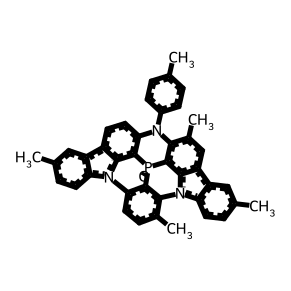 Cc1ccc(N2c3ccc4c5cc(C)ccc5n5c4c3P3(=O)c4c-5ccc(C)c4-n4c5ccc(C)cc5c5cc(C)c2c3c54)cc1